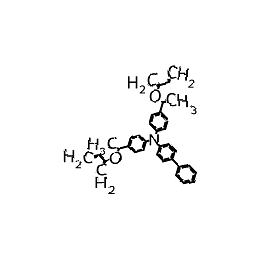 C=CC(=C)OC(C)c1ccc(N(c2ccc(-c3ccccc3)cc2)c2ccc(C(C)OC(=C)C=C)cc2)cc1